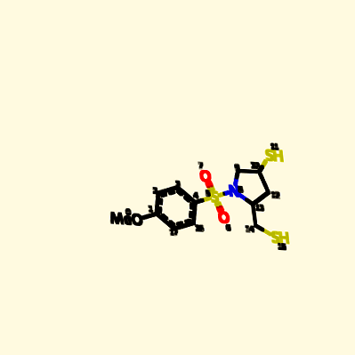 COc1ccc(S(=O)(=O)N2CC(S)CC2CS)cc1